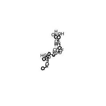 O=C(NCc1ccc(-c2cccc([C@](O)(C(=O)OCC3CCN(Cc4ccccc4)CC3)c3ccccc3)c2)s1)c1c(F)cc(CNC[C@H](O)c2ccc(O)c3[nH]c(=O)ccc23)cc1Cl